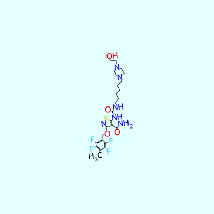 Cc1c(F)c(F)c(COc2nsc(NC(=O)NCCCCCCN3CCN(CCO)CC3)c2C(N)=O)c(F)c1F